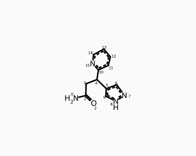 NC(=O)CC(c1cn[nH]c1)c1ccccn1